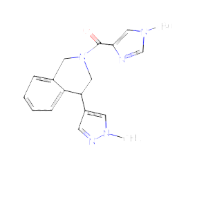 Cn1cc(C2CN(C(=O)c3cn(C(C)(C)C)cn3)Cc3ccccc32)cn1